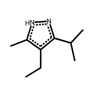 CCc1c(C(C)C)n[nH]c1C